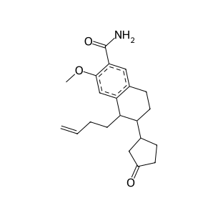 C=CCCC1c2cc(OC)c(C(N)=O)cc2CCC1C1CCC(=O)C1